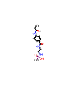 CC(C)CC(=O)Nc1ccc(C(=O)NCCNP(=O)(O)C(C)C)cc1